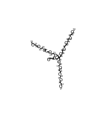 COCCOCCOCCOCCOCC(COCC=O)(COCCOCCOCCOCCOC)COCCOCCOCCOCCOC